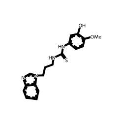 COc1ccc(NC(=S)NCCCn2cnc3ccccc32)cc1O